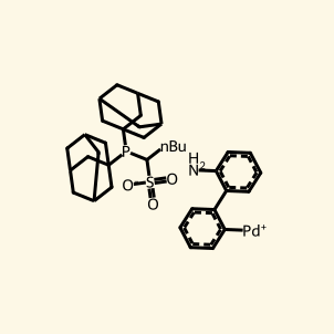 CCCCC(P(C12CC3CC(CC(C3)C1)C2)C12CC3CC(CC(C3)C1)C2)S(=O)(=O)[O-].Nc1ccccc1-c1cccc[c]1[Pd+]